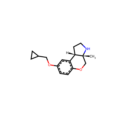 C[C@@]12COc3ccc(OCC4CC4)cc3[C@@H]1CCN2